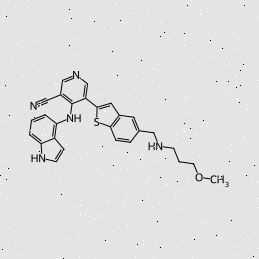 COCCCNCc1ccc2sc(-c3cncc(C#N)c3Nc3cccc4[nH]ccc34)cc2c1